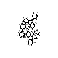 c1ccc(-n2c3ccccc3c3c(N(c4ccc5c(c4)C4(c6ccccc6-5)C5CC6CC(C5)CC4C6)c4cccc5oc6ccccc6c45)cccc32)cc1